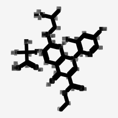 CCOC(=O)c1cn(-c2ncc(F)cc2F)c2nc(NCC(C)N)ccc2c1=O.O=C(O)C(F)(F)F